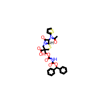 CC(=O)N(c1cccs1)C1C(=O)N2CC(COC(=O)NC(=O)OC(c3ccccc3)c3ccccc3)(C(=O)O)CS[C@H]12